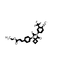 [C-]#[N+]c1ccc(N2C(=O)C3(CCC3)N(c3ccc(/C=C/C(=O)OCC)cc3)C2=S)cc1C(F)(F)F